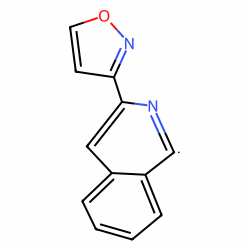 [c]1nc(-c2ccon2)cc2ccccc12